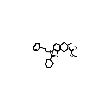 COC(=O)N1Cc2c(ccc3c2nc(C2CCCCC2)n3CCc2ccccc2)CC1C